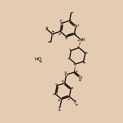 Cc1nc(N[C@H]2CC[C@@H](C(=O)Oc3ccc(F)c(F)c3)CC2)cc(N(C)C)n1.Cl